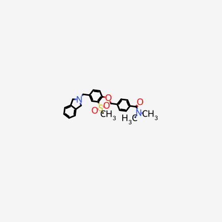 CN(C)C(=O)c1ccc(COc2ccc(CN3Cc4ccccc4C3)cc2S(C)(=O)=O)cc1